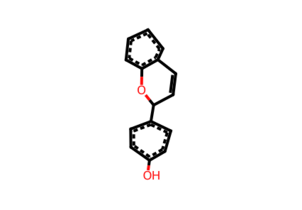 Oc1ccc(C2C=Cc3ccccc3O2)cc1